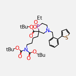 CCOP1(=O)CCN(Cc2ccccc2-c2cccs2)CC1(CCCCN(C(=O)OC(C)(C)C)C(=O)OC(C)(C)C)C(=O)OC(C)(C)C